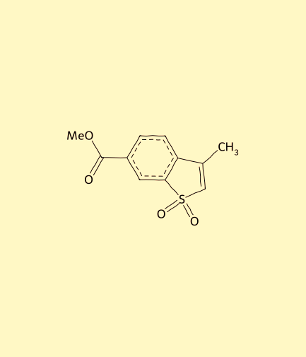 COC(=O)c1ccc2c(c1)S(=O)(=O)C=C2C